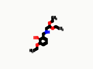 CCOC(CNCC1=CC=CC(OCC)[C@@H]1O)OCC